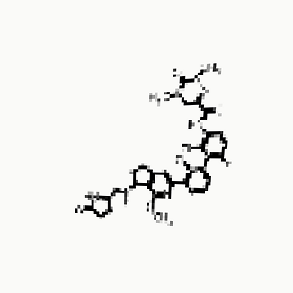 COc1nc(-c2cccc(-c3c(F)ccc(NC(=O)C4=NN(C)C(=O)N(C)C4)c3Cl)c2Cl)cc2c1C(NCC1CCC(=O)N1)CC2